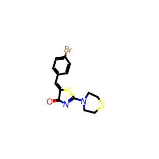 O=C1N=C(N2CCSCC2)S/C1=C\c1ccc(Br)cc1